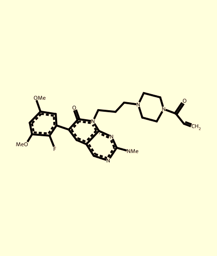 C=CC(=O)N1CCN(CCCn2c(=O)c(-c3cc(OC)cc(OC)c3F)cc3cnc(NC)nc32)CC1